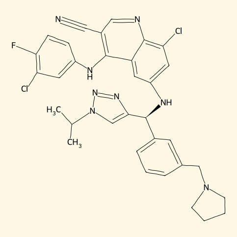 CC(C)n1cc([C@@H](Nc2cc(Cl)c3ncc(C#N)c(Nc4ccc(F)c(Cl)c4)c3c2)c2cccc(CN3CCCC3)c2)nn1